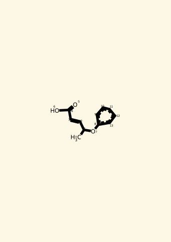 CC(C=CC(=O)O)Oc1ccccc1